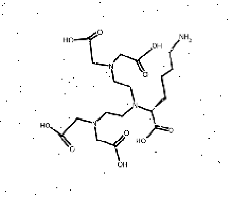 NCCCC[C@@H](C(=O)O)N(CCN(CC(=O)O)CC(=O)O)CCN(CC(=O)O)CC(=O)O